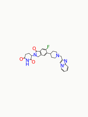 O=C1CCC(N2Cc3cc(C4CCN(Cc5cn6ccccc6n5)CC4)c(F)cc3C2=O)C(=O)N1